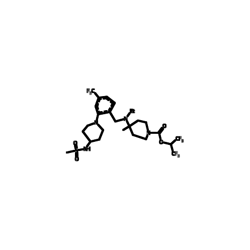 CCN(Cc1ccc(C(F)(F)F)cc1N1CCC(NS(C)(=O)=O)CC1)C1(C)CCN(C(=O)OC(C(F)(F)F)C(F)(F)F)CC1